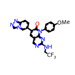 COc1ccc(-n2c(=O)c(-c3ccc4nncn4c3)cc3cnc(NCC(F)(F)F)nc32)cc1